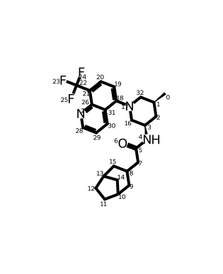 C[C@H]1C[C@@H](NC(=O)CC2CC3CCC(C3)C2)CN(c2ccc(C(F)(F)F)c3ncccc23)C1